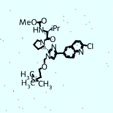 COC(=O)N[C@H](C(=O)N1CCC[C@H]1c1nc(-c2ccc3nc(Cl)ccc3c2)cn1COCC[Si](C)(C)C)C(C)C